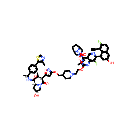 C#Cc1c(F)ccc2cc(O)cc(-c3ncc4c(N5CC6CCC(C5)N6C(=O)OC(C)(C)C)nc(OCCN5CCC(COc6cc([C@@H](C(=O)N7C[C@H](O)C[C@H]7C(=O)N[C@@H](C)c7ccc(-c8scnc8C)cc7)C(C)C)on6)CC5)nc4c3F)c12